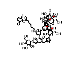 O=C(CN(CC(=O)N(Cc1cn([C@H]2O[C@H](CO)[C@@H](O)[C@H](O)[C@@H]2O)nn1)Cc1cn([C@H]2O[C@H](CO)[C@@H](O)[C@H](O)[C@@H]2O)nn1)CC(=O)N(Cc1cn([C@H]2O[C@H](CO)[C@@H](O)[C@H](O)[C@@H]2O)nn1)Cc1cn([C@H]2O[C@H](CO)[C@@H](O)[C@H](O)[C@@H]2O)nn1)NCCCCCC(=O)ON1C(=O)CCC1=O